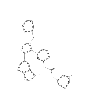 Cc1cccc(NC(=O)Nc2cccc(-c3c(-c4ccc5[nH]nc(N)c5c4)nnn3Cc3ccccc3)c2)c1